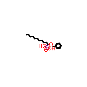 CCCCCCCCCCC(OCc1ccccc1)P(=O)(O)O